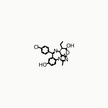 CCC(C(=O)O)[C@@H]1N=C(c2ccc(Cl)cc2)c2cc(O)ccc2-n2c(C)nnc21